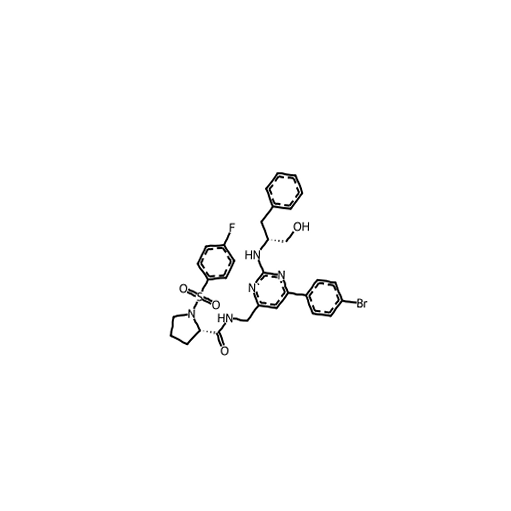 O=C(NCc1cc(-c2ccc(Br)cc2)nc(N[C@@H](CO)Cc2ccccc2)n1)[C@@H]1CCCN1S(=O)(=O)c1ccc(F)cc1